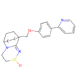 [O-][S+]1CCN2C(=N1)C1(COc3ccc(-c4ccccn4)cc3)CCC2CC1